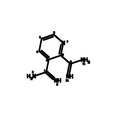 N=C(N)c1cccnc1C(=N)N